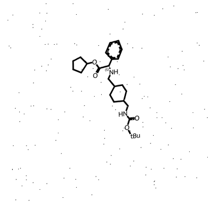 CC(C)(C)OC(=O)NCC1CCC(CN[C@H](C(=O)OC2CCCC2)c2ccccc2)CC1